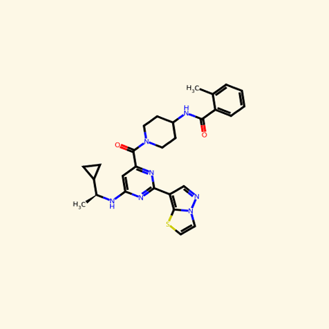 Cc1ccccc1C(=O)NC1CCN(C(=O)c2cc(N[C@@H](C)C3CC3)nc(-c3cnn4ccsc34)n2)CC1